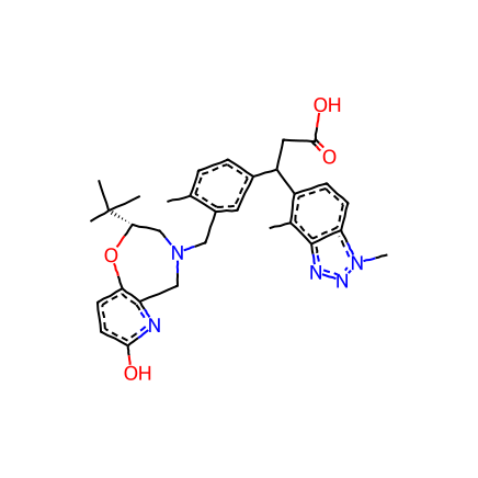 Cc1ccc(C(CC(=O)O)c2ccc3c(nnn3C)c2C)cc1CN1Cc2nc(O)ccc2O[C@H](C(C)(C)C)C1